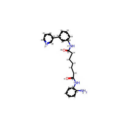 Nc1ccccc1NC(=O)CCCCCC(=O)Nc1cccc(-c2cccnc2)c1